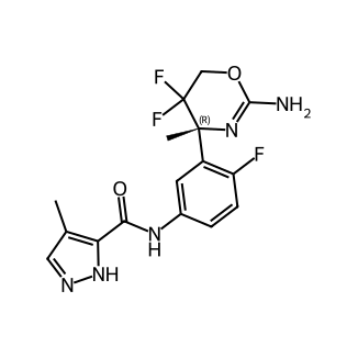 Cc1cn[nH]c1C(=O)Nc1ccc(F)c([C@@]2(C)N=C(N)OCC2(F)F)c1